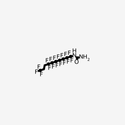 NC(=O)NC(F)(F)C(F)(F)C(F)(F)C(F)(F)C(F)(F)C(F)(F)C(F)(F)CCC(F)(F)F